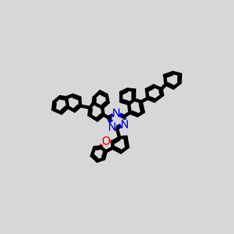 c1ccc(-c2ccc(-c3ccc(-c4nc(-c5ccc(-c6ccc7ccccc7c6)c6ccccc56)nc(-c5cccc6c5oc5ccccc56)n4)c4ccccc34)cc2)cc1